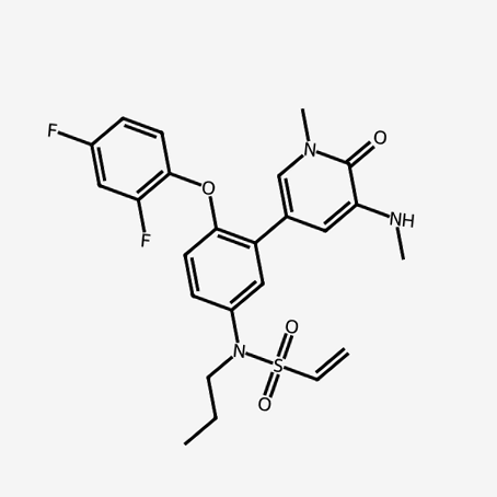 C=CS(=O)(=O)N(CCC)c1ccc(Oc2ccc(F)cc2F)c(-c2cc(NC)c(=O)n(C)c2)c1